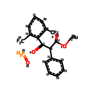 CCC(C)OC(=O)C(C(=O)c1c(C(F)(F)F)cccc1C(F)(F)F)c1ccccc1.O=[PH3]